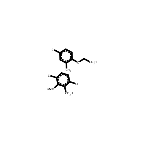 COc1c(Cl)ccc(Cl)c1C(=O)O.Cc1cc(Cl)ccc1OCC(=O)O